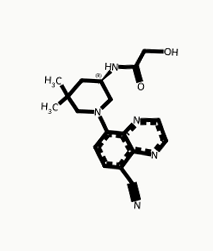 CC1(C)C[C@@H](NC(=O)CO)CN(c2ccc(C#N)c3nccnc23)C1